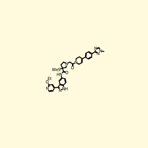 CCOc1cc(-c2n[nH]c3ccc(NC(=O)C4(SC)CCN(CC(=O)N5CC=C(c6ccc(-c7ncn(C)n7)cc6)CC5)C4)cc23)ccn1